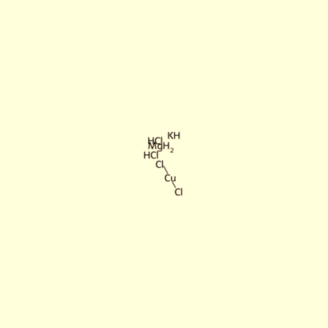 Cl.Cl.[Cl][Cu][Cl].[KH].[MgH2]